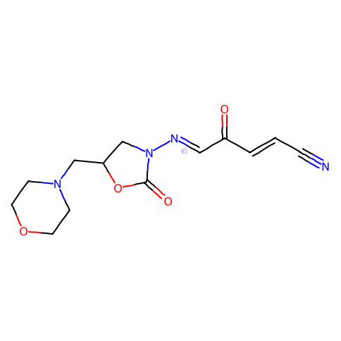 N#CC=CC(=O)/C=N/N1CC(CN2CCOCC2)OC1=O